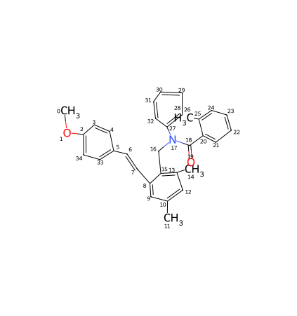 COc1ccc(C=Cc2cc(C)cc(C)c2CN(C(=O)c2ccccc2C)c2ccccc2)cc1